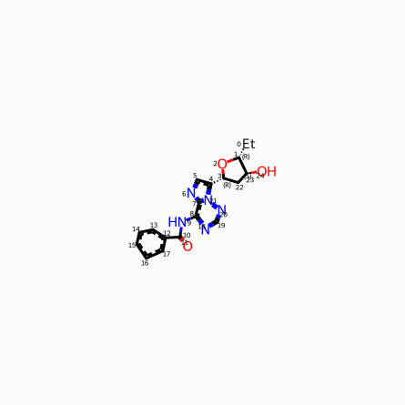 CC[C@H]1O[C@@H](c2cnc3c(NC(=O)c4ccccc4)ncnn23)C[C@@H]1O